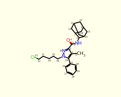 Cc1c(C(=O)NC2C3CC4CC(C3)CC2C4)nn(CCCCCCl)c1-c1ccccc1